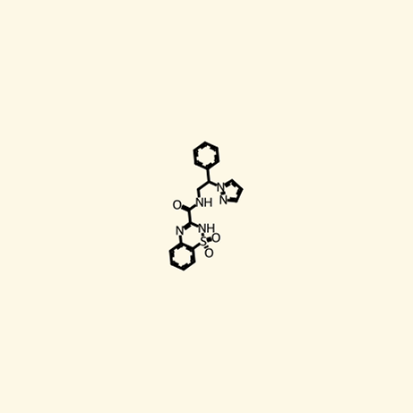 O=C(NCC(c1ccccc1)n1cccn1)C1=Nc2ccccc2S(=O)(=O)N1